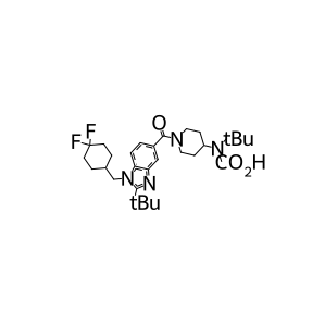 CC(C)(C)c1nc2cc(C(=O)N3CCC(N(C(=O)O)C(C)(C)C)CC3)ccc2n1CC1CCC(F)(F)CC1